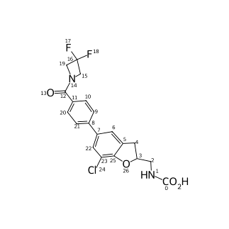 O=C(O)NCC1Cc2cc(-c3ccc(C(=O)N4CC(F)(F)C4)cc3)cc(Cl)c2O1